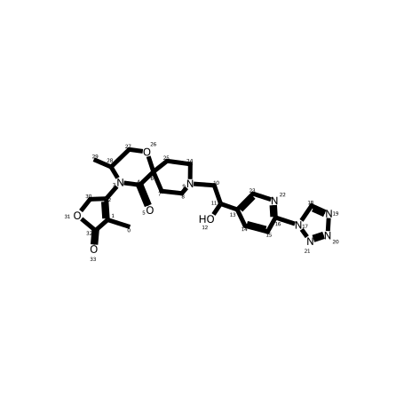 CC1=C(N2C(=O)C3(CCN(CC(O)c4ccc(-n5cnnn5)nc4)CC3)OCC2C)COC1=O